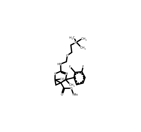 CCCCOC(=O)C12CC1(C(=O)O)SC(NCOCC[Si](C)(C)C)=NC2(C)c1cccc(F)c1F